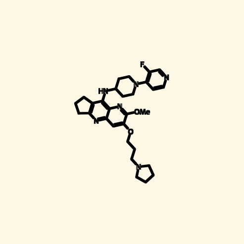 COc1nc2c(NC3CCN(c4ccncc4F)CC3)c3c(nc2cc1OCCCN1CCCC1)CCC3